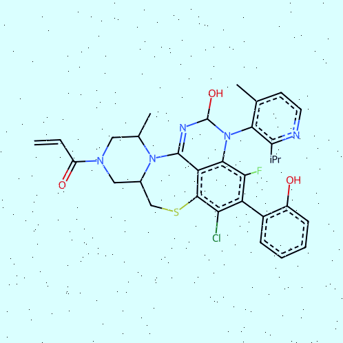 C=CC(=O)N1CC(C)N2C3=NC(O)N(c4c(C)ccnc4C(C)C)c4c(F)c(-c5ccccc5O)c(Cl)c(c43)SCC2C1